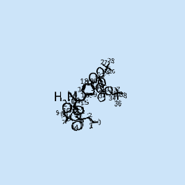 CCCC(=O)OC(C)[C@H](C)OC(=O)[C@@H](N)Cc1ccc(OC(=O)OCC(C)(C)C)c(OC(=O)OCC(C)(C)C)c1